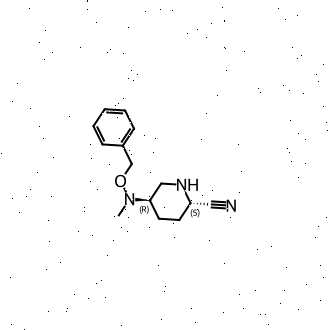 CN(OCc1ccccc1)[C@@H]1CC[C@@H](C#N)NC1